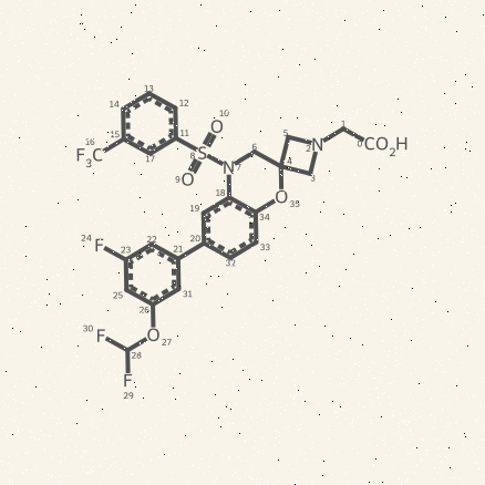 O=C(O)CN1CC2(C1)CN(S(=O)(=O)c1cccc(C(F)(F)F)c1)c1cc(-c3cc(F)cc(OC(F)F)c3)ccc1O2